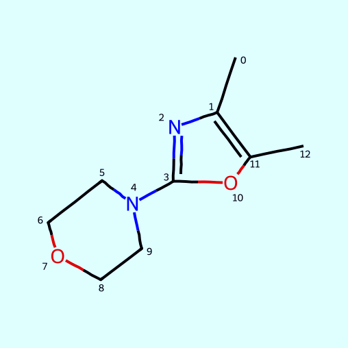 Cc1nc(N2CCOCC2)oc1C